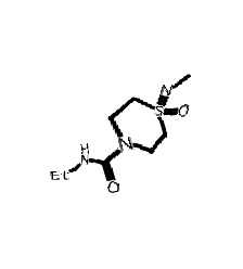 CCNC(=O)N1CCS(=O)(=NC)CC1